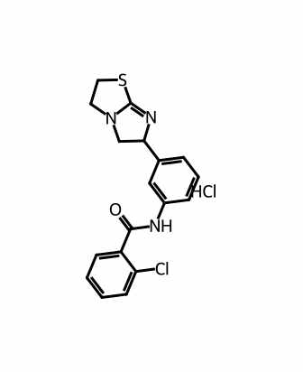 Cl.O=C(Nc1cccc(C2CN3CCSC3=N2)c1)c1ccccc1Cl